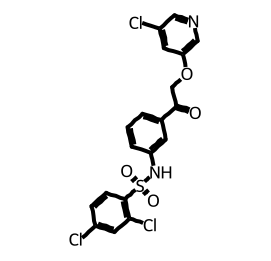 O=C(COc1cncc(Cl)c1)c1cccc(NS(=O)(=O)c2ccc(Cl)cc2Cl)c1